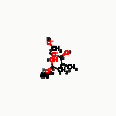 C=CC(=O)[O-].CC(=O)O.C[O-].[Mg+2]